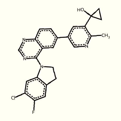 Cc1ncc(-c2ccc3ncnc(N4CCc5cc(F)c(Cl)cc54)c3c2)cc1C1(O)CC1